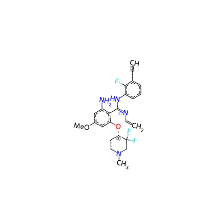 C#Cc1cccc(N/C(=N/C=C)c2c(N)cc(OC)cc2O[C@H]2CCN(C)CC2(F)F)c1F